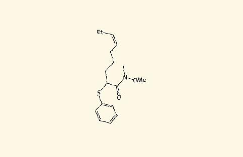 CC/C=C\CCCC(Sc1ccccc1)C(=O)N(C)OC